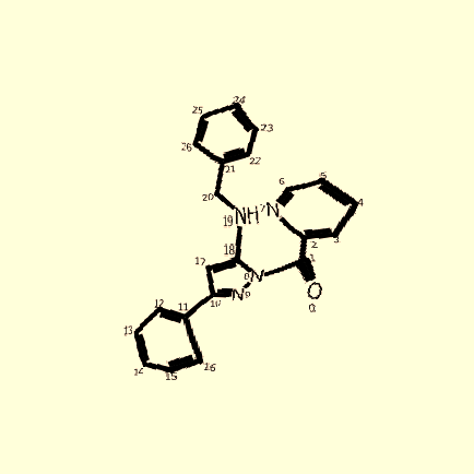 O=C(c1ccccn1)n1nc(-c2ccccc2)cc1NCc1ccccc1